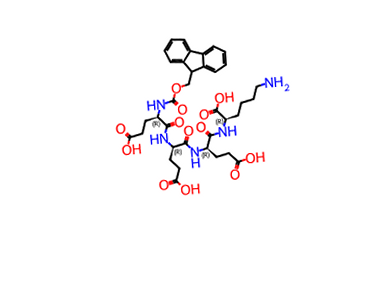 NCCCC[C@@H](NC(=O)[C@@H](CCC(=O)O)NC(=O)[C@@H](CCC(=O)O)NC(=O)[C@@H](CCC(=O)O)NC(=O)OCC1c2ccccc2-c2ccccc21)C(=O)O